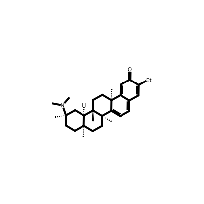 CCC1=CC2=CC=C3[C@@](C)(CC[C@@]4(C)[C@@H]5C[C@](C)(N(C)C)CC[C@]5(C)CC[C@]34C)C2=CC1=O